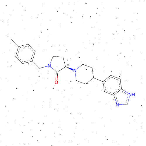 Cc1ccc(CN2CC[C@@H](N3CCC(c4ccc5[nH]cnc5c4)CC3)C2=O)cc1